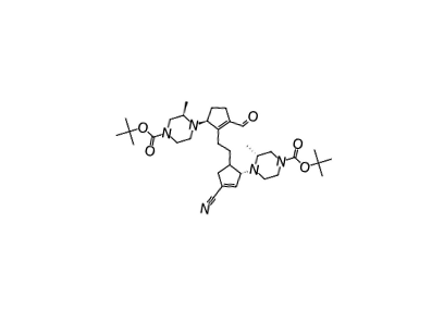 C[C@@H]1CN(C(=O)OC(C)(C)C)CCN1[C@@H]1C=C(C#N)CC1CCC1=C(C=O)CC[C@@H]1N1CCN(C(=O)OC(C)(C)C)C[C@H]1C